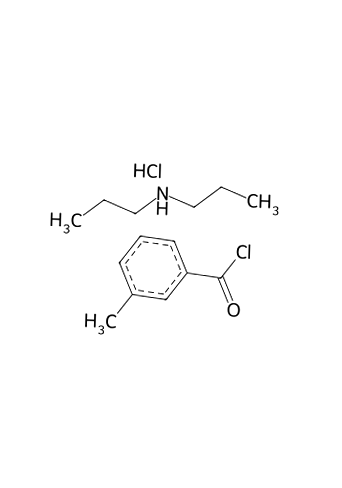 CCCNCCC.Cc1cccc(C(=O)Cl)c1.Cl